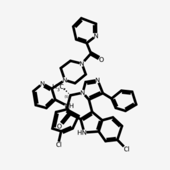 C[C@@H](c1ccc(Cl)cc1)n1cnc(-c2ccccc2)c1-c1c(C(=O)Nc2cccnc2N2CCN(C(=O)c3ccccn3)CC2)[nH]c2cc(Cl)ccc12